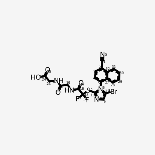 N#Cc1ccc(-n2c(Br)cnc2SC(F)(F)C(=O)NCC(=O)NCC(=O)O)c2ccccc12